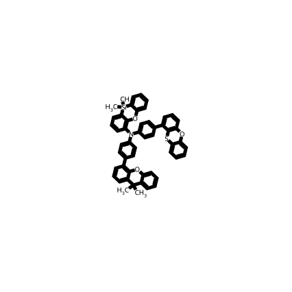 CC1(C)c2ccccc2Oc2c(-c3ccc(N(c4ccc(-c5cccc6c5Sc5ccccc5O6)cc4)c4cccc5c4Oc4ccccc4[Si]5(C)C)cc3)cccc21